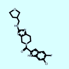 O=C(c1cc2cc(F)c(Cl)cc2[nH]1)N1CCc2nc(NCC3CCOC3)sc2C1